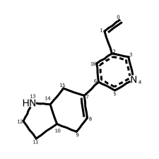 C=Cc1cncc(C2=CCC3CCNC3C2)c1